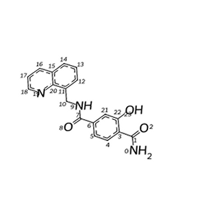 NC(=O)c1ccc(C(=O)NCc2cccc3cccnc23)cc1O